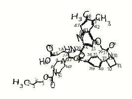 CCCCOC(=O)N1CCN(C(=O)C(CCC(=O)O)NC(=O)c2cc(OCC(=O)N3CCCC3c3ccc(F)cc3)c3cc(C)c(C)cc3n2)CC1